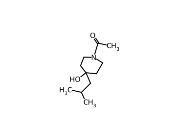 CC(=O)N1CCC(O)(CC(C)C)CC1